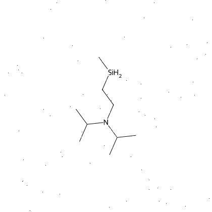 C[SiH2]CCN(C(C)C)C(C)C